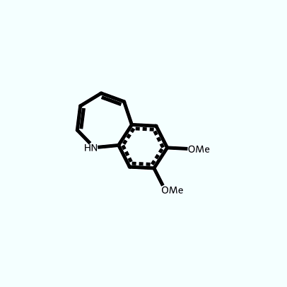 COc1cc2c(cc1OC)NC=CC=C2